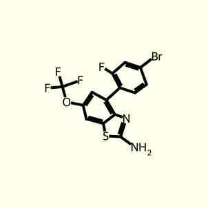 Nc1nc2c(-c3ccc(Br)cc3F)cc(OC(F)(F)F)cc2s1